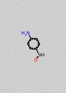 Nc1ccc([SiH]=O)cc1